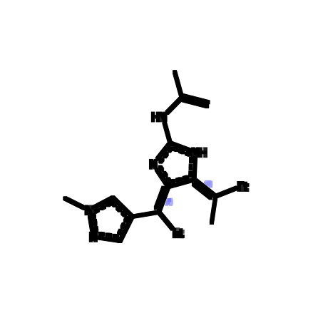 C=C(C)Nc1nc(=C(/CC)c2cnn(C)c2)/c(=C(\C)CC)[nH]1